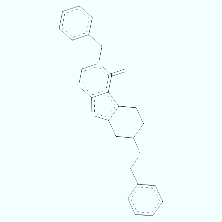 O=c1c2c3c(sc2ncn1Cc1ccccc1)CC(NCc1ccccc1)CC3